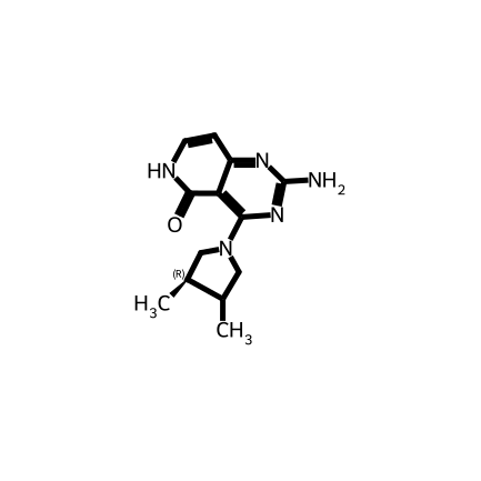 CC1CN(c2nc(N)nc3cc[nH]c(=O)c23)C[C@@H]1C